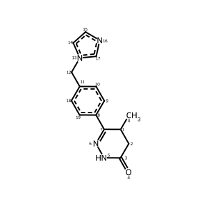 CC1CC(=O)NN=C1c1ccc(Cn2ccnc2)cc1